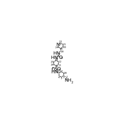 NCc1ccc(NS(=O)(=O)c2ccc(NC(=O)NCc3cccnc3)cc2)cc1